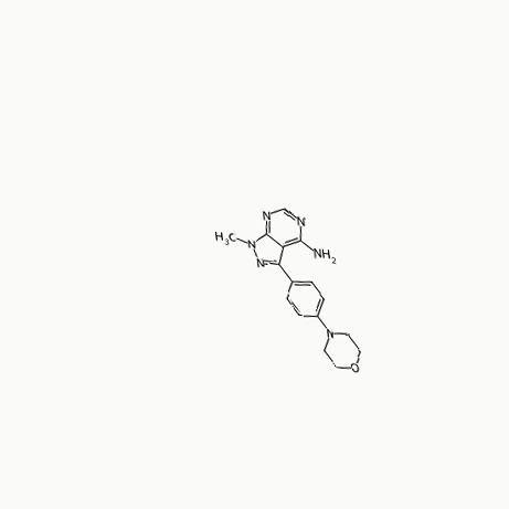 Cn1nc(-c2ccc(N3CCOCC3)cc2)c2c(N)ncnc21